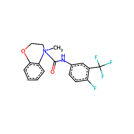 C[N+]1(C(=O)Nc2ccc(F)c(C(F)(F)F)c2)CCOc2c[c]ccc21